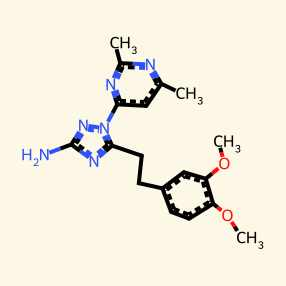 COc1ccc(CCc2nc(N)nn2-c2cc(C)nc(C)n2)cc1OC